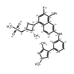 Cc1nn(C)cc1-c1nccc(Nc2cc3c(C(C)C)c(F)cc(N4C[C@H](CS(C)(=O)=O)[C@H]4C)c3cn2)n1